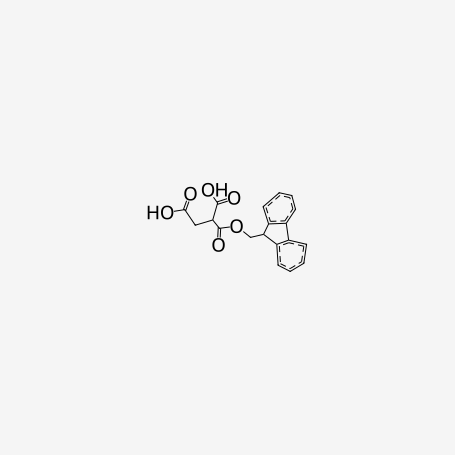 O=C(O)CC(C(=O)O)C(=O)OCC1c2ccccc2-c2ccccc21